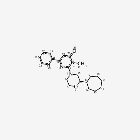 Cn1c(N2CCOC(C3CCCCCC3)C2)nc(-c2ccncn2)cc1=O